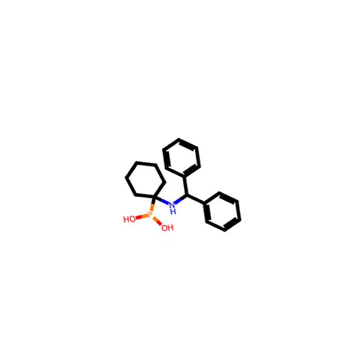 OP(O)C1(NC(c2ccccc2)c2ccccc2)CCCCC1